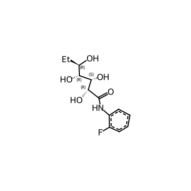 CC[C@@H](O)[C@@H](O)[C@H](O)[C@@H](O)C(=O)Nc1ccccc1F